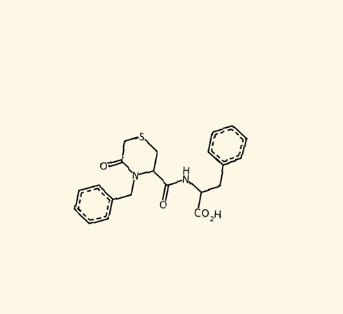 O=C(O)C(Cc1ccccc1)NC(=O)C1CSCC(=O)N1Cc1ccccc1